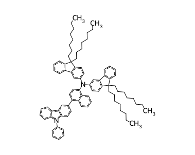 CCCCCCCCC1(CCCCCCCC)c2ccccc2-c2cc(N(c3ccc4c(c3)-c3ccccc3C4(CCCCCCCC)CCCCCCCC)c3ccc(-c4ccc5c(c4)c4ccccc4n5-c4ccccc4)c4ccccc34)ccc21